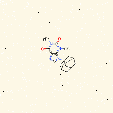 CCCn1c(=O)c2ncn(C34CC5CC(CC(C5)C3)C4)c2n(CCC)c1=O